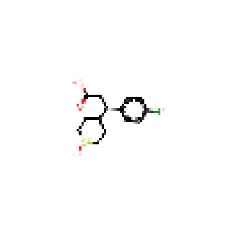 O=C(O)CC(c1ccc(Cl)cc1)C1CC[S+]([O-])CC1